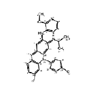 COc1ncccc1Nc1cc2nc3ccc(F)cc3n(-c3ccc(Cl)cc3)c-2cc1=NC(C)C